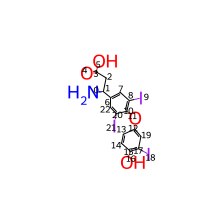 N[C@@H](CC(=O)O)c1cc(I)c(Oc2ccc(O)c(I)c2)c(I)c1